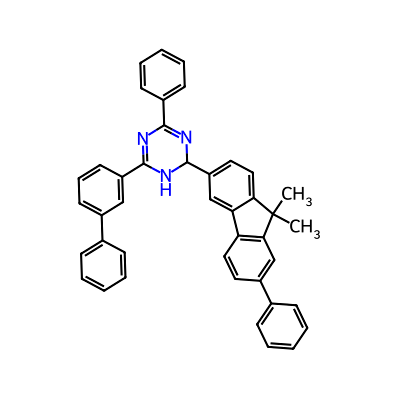 CC1(C)c2ccc(C3N=C(c4ccccc4)N=C(c4cccc(-c5ccccc5)c4)N3)cc2-c2ccc(-c3ccccc3)cc21